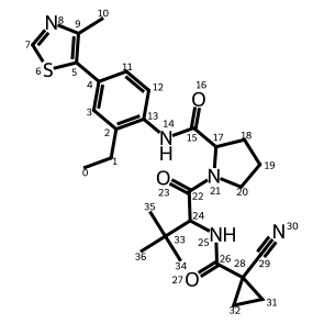 CCc1cc(-c2scnc2C)ccc1NC(=O)C1CCCN1C(=O)C(NC(=O)C1(C#N)CC1)C(C)(C)C